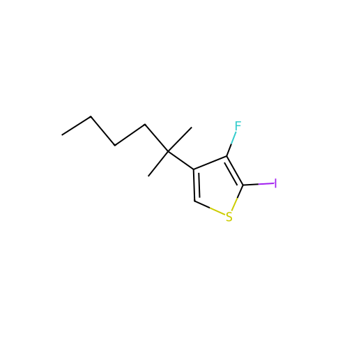 CCCCC(C)(C)c1csc(I)c1F